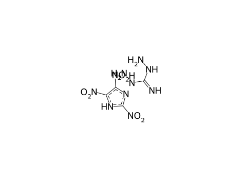 N=C(NN)NN.O=[N+]([O-])c1nc([N+](=O)[O-])c([N+](=O)[O-])[nH]1